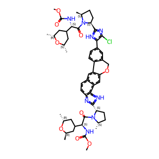 COC(=O)N[C@H](C(=O)N1[C@@H](C)CC[C@H]1c1nc(Cl)c(-c2ccc3c(c2)COc2cc4c(ccc5nc([C@@H]6CC[C@H](C)N6C(=O)[C@@H](NC(=O)OC)C6C[C@@H](C)O[C@H](C)C6)[nH]c54)cc2-3)[nH]1)C1C[C@@H](C)O[C@@H](C)C1